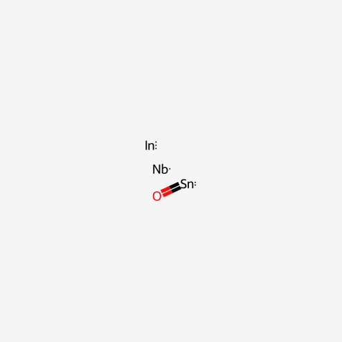 [In].[Nb].[O]=[Sn]